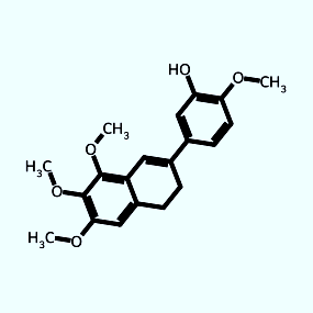 COc1ccc(C2=Cc3c(cc(OC)c(OC)c3OC)CC2)cc1O